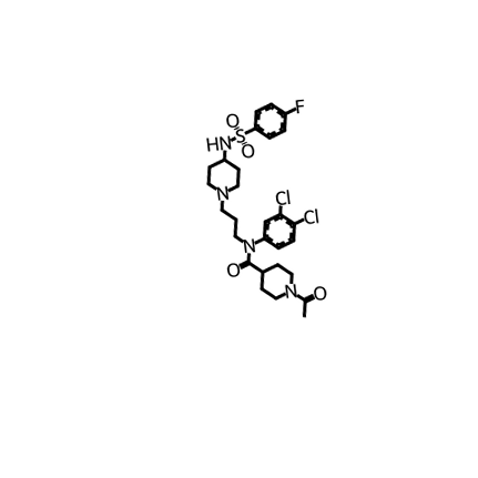 CC(=O)N1CCC(C(=O)N(CCCN2CCC(NS(=O)(=O)c3ccc(F)cc3)CC2)c2ccc(Cl)c(Cl)c2)CC1